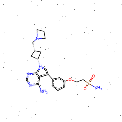 Nc1ncnc2c1c(-c1cccc(OCCS(N)(=O)=O)c1)cn2[C@H]1C[C@@H](CN2CCC2)C1